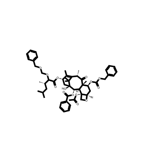 CC(=O)O[C@@]12CO[C@@H]1C[C@H](OC(=O)OCc1ccccc1)[C@@]1(C)C(=O)[C@@H](C)C3=C(C)[C@@H](OC(=O)C(OCOCc4ccccc4)[C@@H](C)CC(C)C)C[C@@](O)([C@@H](OC(=O)c4ccccc4)[C@H]21)C3(C)C